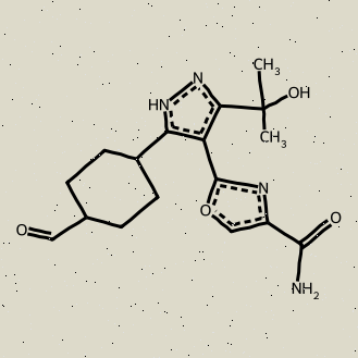 CC(C)(O)c1n[nH]c(C2CCC(C=O)CC2)c1-c1nc(C(N)=O)co1